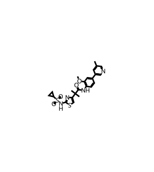 COc1cc(-c2cncc(C)c2)ccc1NC(=O)C(C)(C)c1csc(NS(=O)(=O)C2CC2)n1